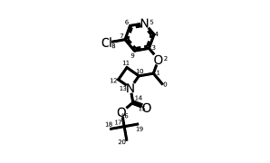 CC(Oc1cncc(Cl)c1)C1CCN1C(=O)OC(C)(C)C